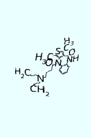 C=CCN(CC=C)CCCC(=O)N1c2ccccc2NC(=O)c2c(C)sc(C)c21